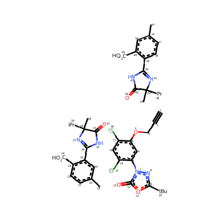 C#CCOc1cc(-n2nc(C(C)(C)C)oc2=O)c(Cl)cc1Cl.Cc1ccc(C(=O)O)c(C2=NC(C)(C(C)C)C(=O)N2)c1.Cc1ccc(C2=NC(C)(C(C)C)C(=O)N2)c(C(=O)O)c1